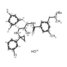 CCCCN(C)Cc1cc(C)cc(C(=O)N[C@@H](Cc2cc(F)cc(F)c2)[C@@H](O)CNC2(c3cccc(CC)c3)CC2)c1.Cl